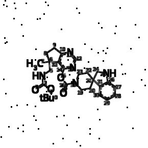 CC(C)(C)OC(=O)NCC1(C)CCc2ncnc(OC(=O)N3CCC4(CC3)CNc3ccccc34)c21